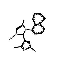 CC1=CN(N)C(c2cc(C)oc2C)N1c1nccc2ccccc12